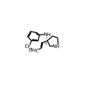 O=CC=C[C@@]1(Nc2cccc(C(F)(F)F)c2)CCCNC1